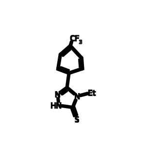 CCn1c(-c2ccc(C(F)(F)F)cc2)n[nH]c1=S